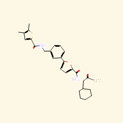 CNC(=O)[C@@H](NC(=O)c1ccc(-c2cccc(CNC(=O)c3cc(C)c(C)s3)c2)o1)C1CCCCC1